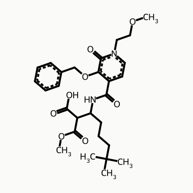 COCCn1ccc(C(=O)NC(CCCC(C)(C)C)C(C(=O)O)C(=O)OC)c(OCc2ccccc2)c1=O